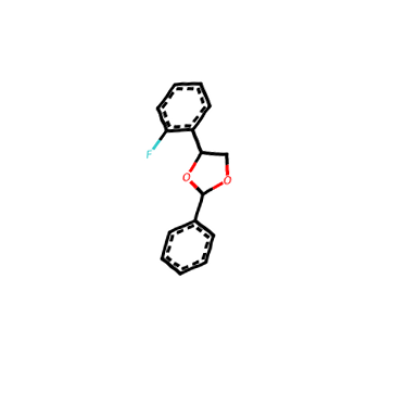 Fc1ccccc1C1COC(c2ccccc2)O1